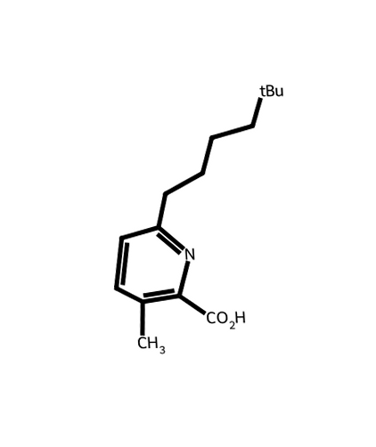 Cc1ccc(CCCCC(C)(C)C)nc1C(=O)O